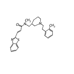 Cc1ccccc1CCN1CCCC(CN(C)C(=O)/C=C/c2nc3ccccc3s2)C1